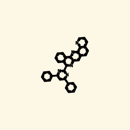 c1ccc(-c2cc(-c3ccccc3)nc(-c3nc4cc5ccc6cccnc6c5nc4c4ccccc34)n2)cc1